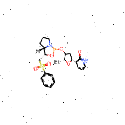 CC[C@H]1O[C@@H](c2ccc[nH]c2=O)CC1O[P@@]1O[C@H](CS(=O)(=O)c2ccccc2)[C@@H]2CCCN21